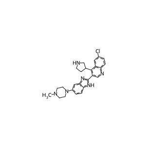 CN1CCN(c2ccc3[nH]c(-c4cnc5ccc(Cl)cc5c4C4CCNC4)nc3c2)CC1